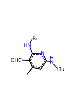 CCC(C)Nc1cc(C)c(C=O)c(NC(C)CC)n1